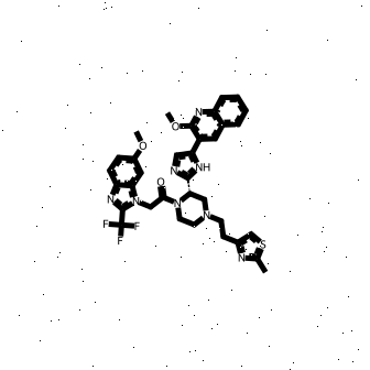 COc1ccc2nc(C(F)(F)F)n(CC(=O)N3CCN(CCc4csc(C)n4)C[C@H]3c3ncc(-c4cc5ccccc5nc4OC)[nH]3)c2c1